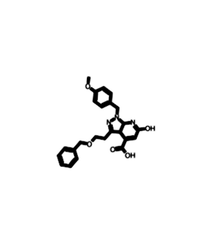 COc1ccc(CN2N=C(CCOCc3ccccc3)C3C(C(=O)O)=CC(O)=NC32)cc1